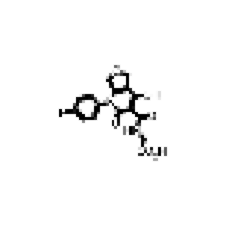 O=C(O)CNC(=O)c1c(O)c2c(n(-c3ccc(F)cc3)c1=O)COC2